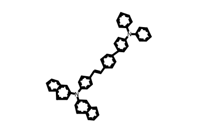 C(=Cc1ccc(N(c2ccc3ccccc3c2)c2ccc3ccccc3c2)cc1)c1ccc(-c2ccc(N(c3ccccc3)c3ccccc3)cc2)cc1